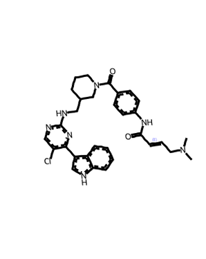 CN(C)C/C=C/C(=O)Nc1ccc(C(=O)N2CCCC(CNc3ncc(Cl)c(-c4c[nH]c5ccccc45)n3)C2)cc1